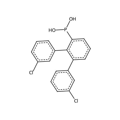 OP(O)c1cccc(-c2cccc(Cl)c2)c1-c1cccc(Cl)c1